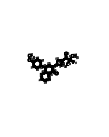 CC(C)(F)C(=O)N1CC(n2cc(-c3ccc(OC(F)(F)F)cc3)c3nccnc3c2=O)C1